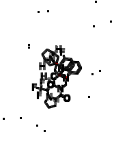 Cc1nc2ccccc2n1C1C[C@H]2CC[C@@H](C1)N2CCC1(c2cccc(F)c2)CCN(C(=O)[C@H]2CCCN2C(=O)C(F)(F)F)CC1